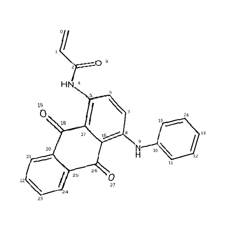 C=CC(=O)Nc1ccc(Nc2ccccc2)c2c1C(=O)c1ccccc1C2=O